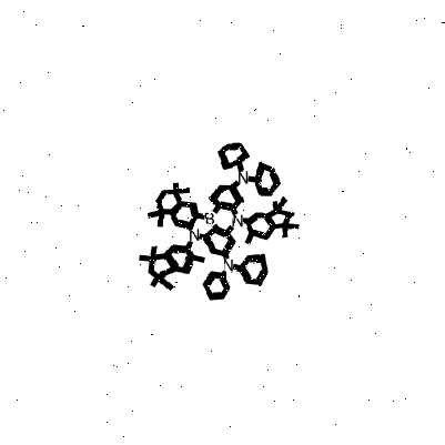 Cc1cc2c(cc1N1c3cc(N(c4ccccc4)c4ccccc4)ccc3B3c4cc5c(cc4N(c4cc6c(cc4C)C(C)(C)CC6(C)C)c4cc(N(c6ccccc6)c6ccccc6)cc1c43)C(C)(C)CCC5(C)C)C(C)(C)CC2(C)C